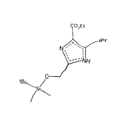 CCOC(=O)c1nc(CO[Si](C)(C)C(C)(C)C)[nH]c1C(C)C